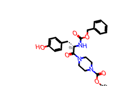 CC(C)(C)OC(=O)N1CCN(C(=O)[C@H](Cc2ccc(O)cc2)NC(=O)OCc2ccccc2)CC1